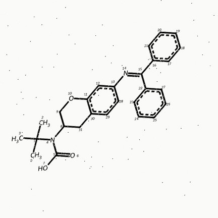 CC(C)(C)N(C(=O)O)C1COc2cc(N=C(c3ccccc3)c3ccccc3)ccc2C1